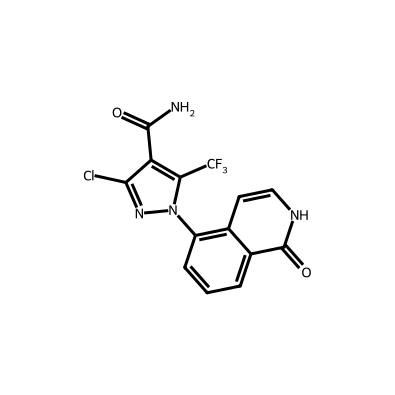 NC(=O)c1c(Cl)nn(-c2cccc3c(=O)[nH]ccc23)c1C(F)(F)F